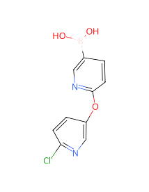 OB(O)c1ccc(Oc2ccc(Cl)nc2)nc1